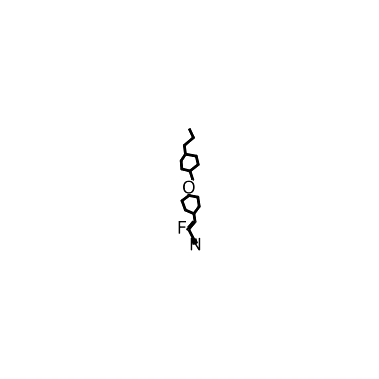 CCCC1CCC(COC2CCC(C=C(F)C#N)CC2)CC1